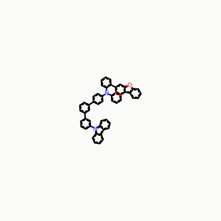 c1ccc(N(c2ccc(-c3cccc(-c4cccc(-n5c6ccccc6c6ccccc65)c4)c3)cc2)c2ccccc2-c2ccc3c(c2)oc2ccccc23)cc1